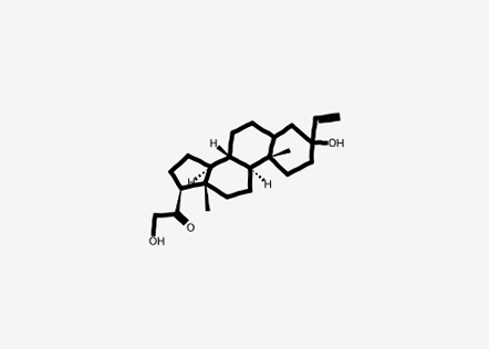 C=CC1(O)CC[C@@]2(C)C(CC[C@H]3[C@@H]4CC[C@H](C(=O)CO)[C@@]4(C)CC[C@@H]32)C1